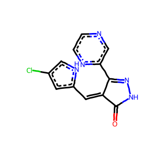 O=C1NN=C(c2cnccn2)/C1=C\c1cc(Cl)c[nH]1